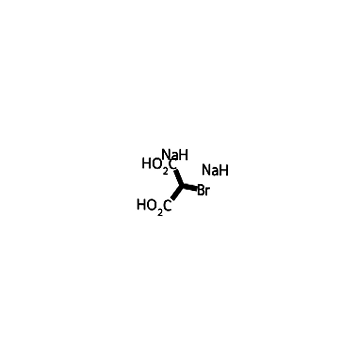 O=C(O)C(Br)C(=O)O.[NaH].[NaH]